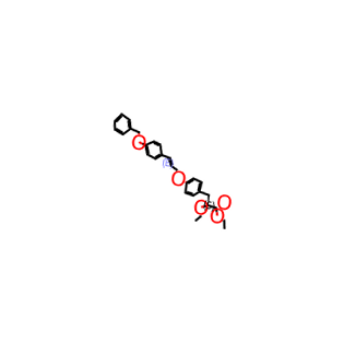 CCOC(=O)[C@H](Cc1ccc(OC/C=C/c2ccc(OCc3ccccc3)cc2)cc1)OCC